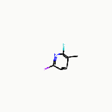 Cc1ccc(I)nc1F